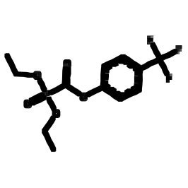 CCOP(=O)(OCC)C(=O)Oc1ccc(C(F)(F)F)cc1